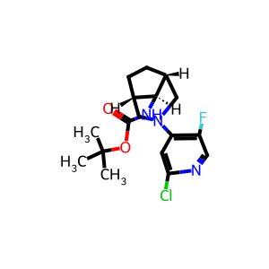 CC(C)(C)OC(=O)N[C@@H]1[C@@H]2CC[C@H]1CN(c1cc(Cl)ncc1F)C2